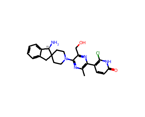 Cc1nc(N2CCC3(CC2)Cc2ccccc2[C@H]3N)c(CO)nc1-c1ccc(=O)[nH]c1Cl